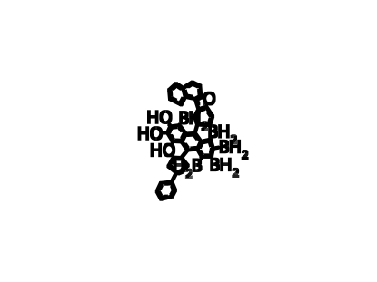 Bc1c(B)c(B)c2c(-c3ccc(-c4ccccc4)cc3)c3c(O)c(O)c(O)c(B)c3c(-c3ccc4oc5ccc6ccccc6c5c4c3)c2c1B